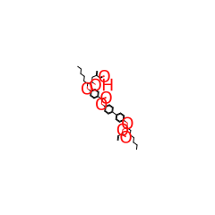 C=CC(=O)OC(CCCCCC)Oc1ccc(-c2ccc(OC(=O)c3ccc(OC(CCCCC)C(O)CC(=C)C=O)cc3)cc2)cc1